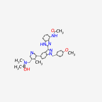 CCN(Cc1cncc(-c2ccc3c(c2)c(-c2nc4c(NC(C)=O)cccc4[nH]2)nn3Cc2ccc(OC)cc2)c1C)B(C)O